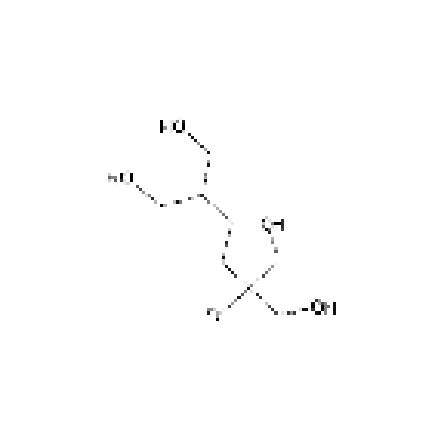 CCC(CO)(CO)CCC(CO)CO